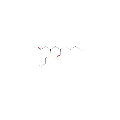 NCCSC(C=O)CC(CC=O)SCCN